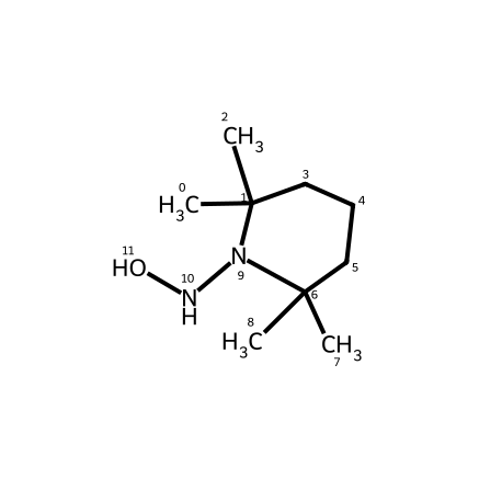 CC1(C)CCCC(C)(C)N1NO